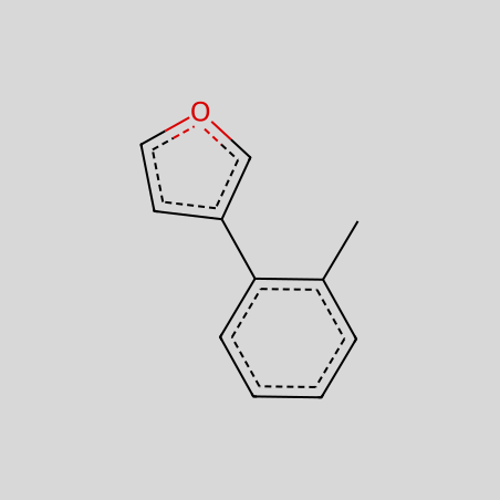 Cc1ccccc1-c1ccoc1